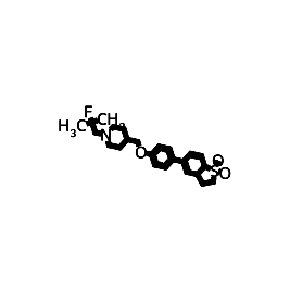 CC(C)(F)CN1CCC(COc2ccc(C3=CC4CCS(=O)(=O)C4C=C3)cc2)CC1